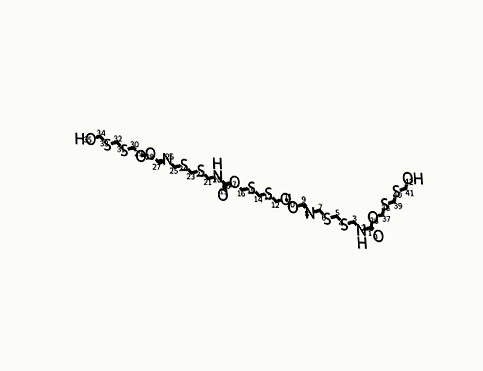 O=C(NCSCSC/N=C/OOCSCSCOC(=O)NCSCSC/N=C/OOCSCSCO)OCSCSCO